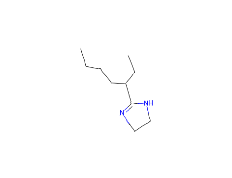 CCCCC(CC)C1=NCCN1